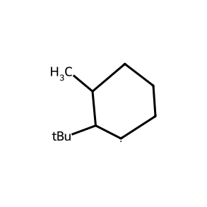 CC1CCC[CH]C1C(C)(C)C